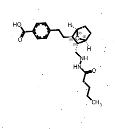 CCCCC(=O)NNC[C@@H]1[C@@H](CCc2ccc(C(=O)O)cc2)[C@H]2CC[C@@H]1O2